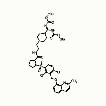 Cc1ccc2cccc(OCc3c(Cl)ccc(S(=O)(=O)N4CCC[C@H]4C(=O)NCCC4CCN(/C(=N/C(=O)OC(C)(C)C)NC(=O)OC(C)(C)C)CC4)c3Cl)c2n1